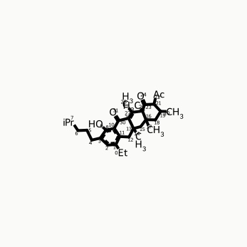 CCc1cc(CCCC(C)C)c(O)c2c1CC1(C)CC3(C)CC(C)C(C(C)=O)C(=O)C3(C)C(C)=C1C2=O